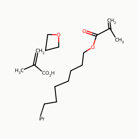 C1COC1.C=C(C)C(=O)O.C=C(C)C(=O)OCCCCCCCC(C)C